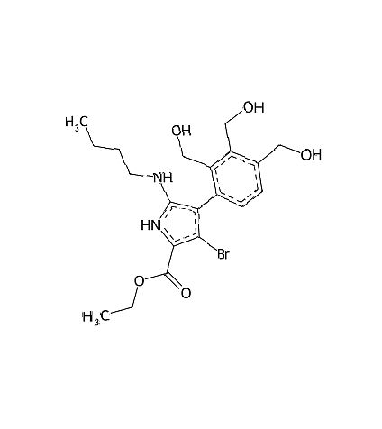 CCCCNc1[nH]c(C(=O)OCC)c(Br)c1-c1ccc(CO)c(CO)c1CO